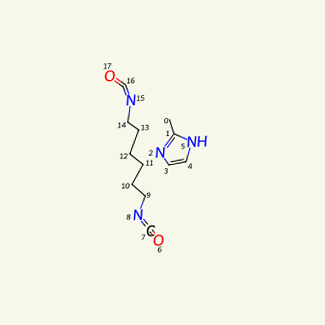 Cc1ncc[nH]1.O=C=NCCCCCCN=C=O